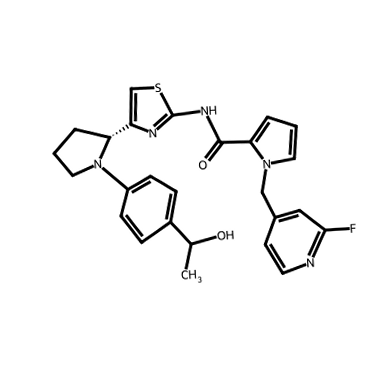 CC(O)c1ccc(N2CCC[C@@H]2c2csc(NC(=O)c3cccn3Cc3ccnc(F)c3)n2)cc1